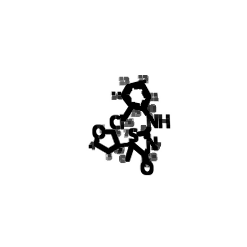 CC1([C@H]2CCOC2)SC(Nc2ccccc2Cl)=NC1=O